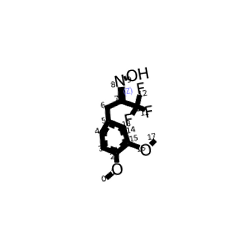 COc1ccc(C/C(=N/O)C(F)(F)F)cc1OC